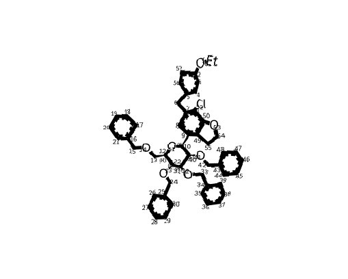 CCOc1ccc(Cc2cc([C@@H]3O[C@H](COCc4ccccc4)[C@@H](OCc4ccccc4)[C@H](OCc4ccccc4)[C@H]3OCc3ccccc3)c3c(c2Cl)OCC3)cc1